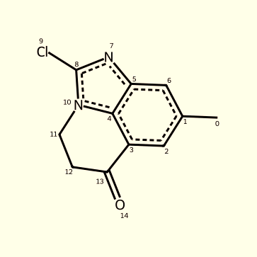 Cc1cc2c3c(c1)nc(Cl)n3CCC2=O